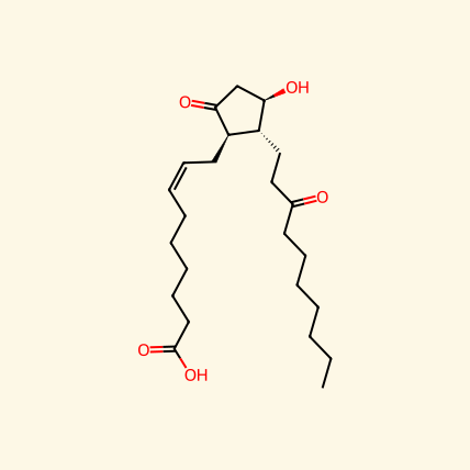 CCCCCCCC(=O)CC[C@H]1[C@H](O)CC(=O)[C@@H]1C/C=C\CCCCCC(=O)O